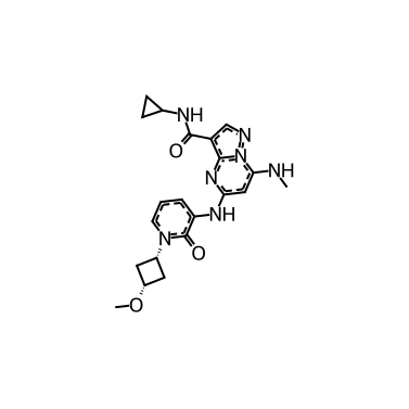 CNc1cc(Nc2cccn([C@H]3C[C@@H](OC)C3)c2=O)nc2c(C(=O)NC3CC3)cnn12